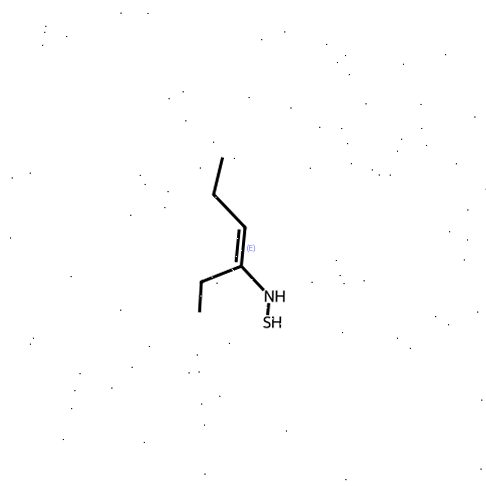 CC/C=C(\CC)NS